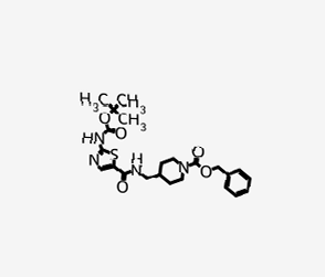 CC(C)(C)OC(=O)Nc1ncc(C(=O)NCC2CCN(C(=O)OCc3ccccc3)CC2)s1